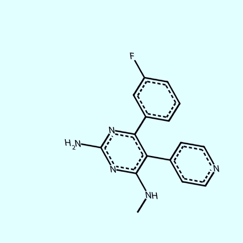 CNc1nc(N)nc(-c2cccc(F)c2)c1-c1ccncc1